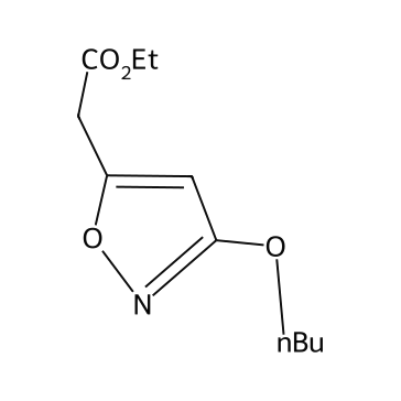 CCCCOc1cc(CC(=O)OCC)on1